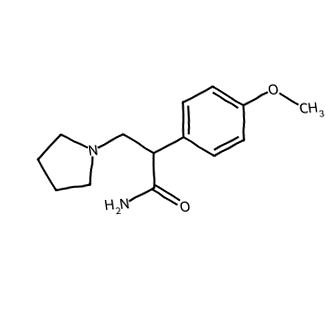 COc1ccc(C(CN2CCCC2)C(N)=O)cc1